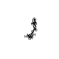 COc1nc(C(F)(F)F)cnc1N1CCN(C(=O)CCOCCNc2cn[nH]c(=O)c2C(F)(F)F)CC1